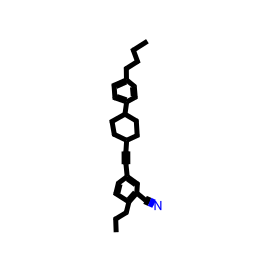 CCCCc1ccc(C2CCC(C#Cc3ccc(CCC)c(C#N)c3)CC2)cc1